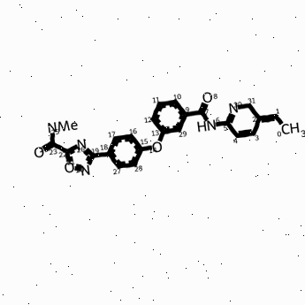 C/C=C1\C=CC(NC(=O)c2cccc(Oc3ccc(-c4noc(C(=O)NC)n4)cc3)c2)=NC1